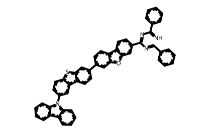 N=C(/N=C(\N=C\c1ccccc1)c1ccc2c(c1)oc1cc(-c3ccc4c(c3)sc3ccc(-n5c6ccccc6c6ccccc65)cc34)ccc12)c1ccccc1